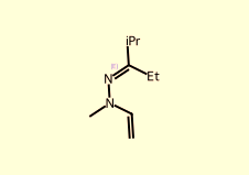 C=CN(C)/N=C(\CC)C(C)C